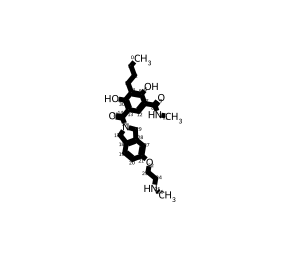 CCCCc1c(O)c(C(=O)NC)cc(C(=O)N2Cc3ccc(OCCNC)cc3C2)c1O